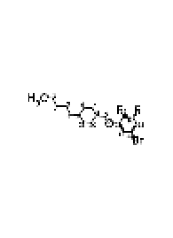 CCCCCC1CCC(COc2cc(Br)cc(F)c2F)CC1